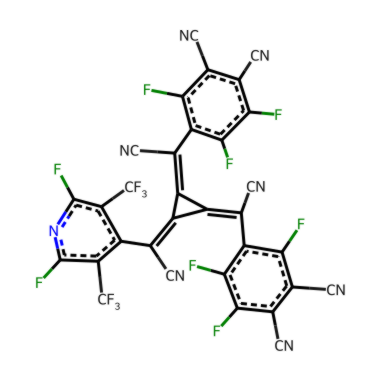 N#CC(=C1C(=C(/C#N)c2c(F)c(F)c(C#N)c(C#N)c2F)/C1=C(/C#N)c1c(F)c(F)c(C#N)c(C#N)c1F)c1c(C(F)(F)F)c(F)nc(F)c1C(F)(F)F